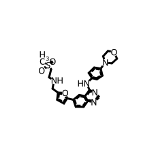 CS(=O)(=O)CCNCc1ccc(-c2ccc3ncnc(Nc4ccc(N5CCOCC5)cc4)c3c2)o1